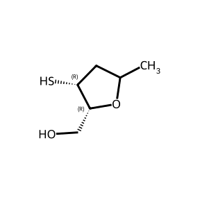 CC1C[C@@H](S)[C@@H](CO)O1